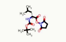 CC(C)C[C@@H](NC(=O)OC(C)(C)C)C(=O)ON1C(=O)CCC1=O